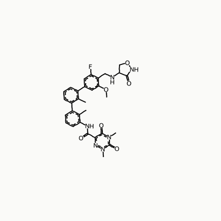 COc1cc(-c2cccc(-c3cccc(NC(=O)c4nn(C)c(=O)n(C)c4=O)c3C)c2C)cc(F)c1CNC1CONC1=O